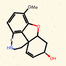 COc1ccc2c3c1OC1C[C@@H](O)C=CC31CCNC2